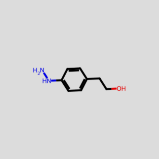 NNc1ccc(CCO)cc1